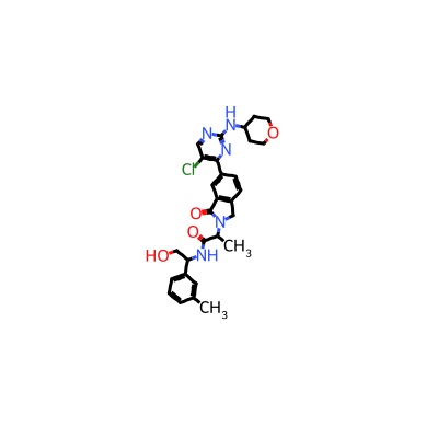 Cc1cccc(C(CO)NC(=O)C(C)N2Cc3ccc(-c4nc(NC5CCOCC5)ncc4Cl)cc3C2=O)c1